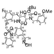 COc1cccc(CN(C[C@@H](O)[C@H](Cc2cc(F)cc(F)c2)NC(=O)c2cc(/C(C)=N/O)cc(N(c3ccccc3)S(C)(=O)=O)c2)C(=O)OC(C)(C)C)c1